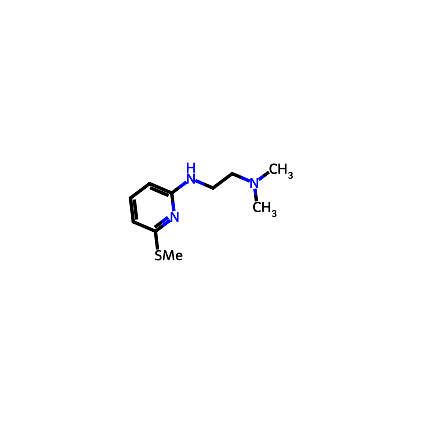 CSc1cccc(NCCN(C)C)n1